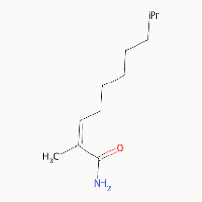 CC(=CCCCCCC(C)C)C(N)=O